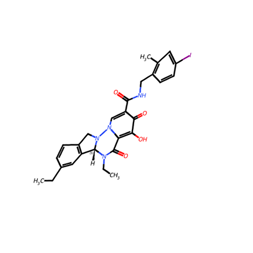 CCc1ccc2c(c1)[C@H]1N(CC)C(=O)c3c(O)c(=O)c(C(=O)NCc4ccc(I)cc4C)cn3N1C2